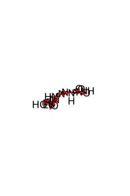 C=CCn1c(=O)c2cnc(Nc3ccc(N4CCN(CCCNc5ccc6c(c5)CN(C5CCC(=O)NC5=O)C6=O)CC4)cc3)nc2n1-c1ccc2c(n1)[C@@](O)(CC)CC2